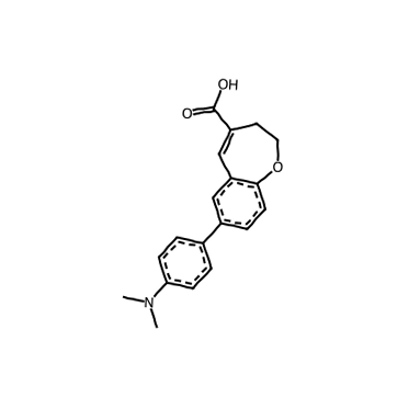 CN(C)c1ccc(-c2ccc3c(c2)C=C(C(=O)O)CCO3)cc1